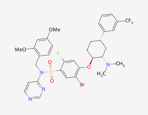 COc1ccc(CN(c2ccncn2)S(=O)(=O)c2cc(Br)c(O[C@H]3CC[C@H](c4cccc(C(F)(F)F)c4)C[C@@H]3N(C)C)cc2F)c(OC)c1